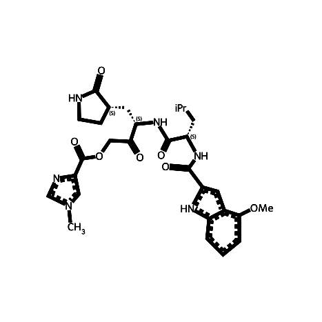 COc1cccc2[nH]c(C(=O)N[C@@H](CC(C)C)C(=O)N[C@@H](C[C@@H]3CCNC3=O)C(=O)COC(=O)c3cn(C)cn3)cc12